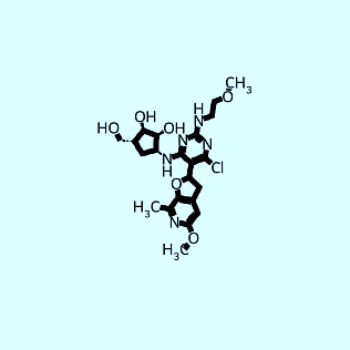 COCCNc1nc(Cl)c(C2Cc3cc(OC)nc(C)c3O2)c(N[C@@H]2C[C@H](CO)[C@@H](O)[C@H]2O)n1